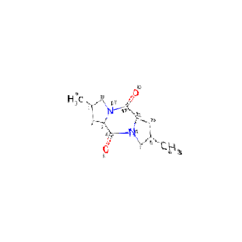 CC1CC2C(=O)N3CC(C)CC3C(=O)N2C1